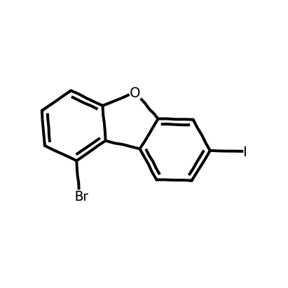 Brc1cccc2oc3cc(I)ccc3c12